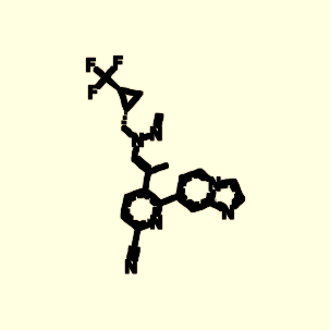 C=NN(/C=C(\C)c1ccc(C#N)nc1-c1ccn2ccnc2c1)C[C@H]1C[C@@H]1C(F)(F)F